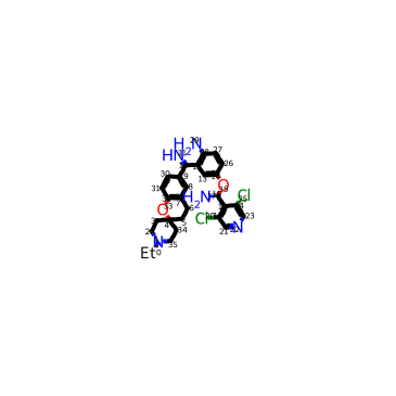 CCN1CCC2(CCc3cc(C(=N)c4cc(O[C@H](N)c5c(Cl)cncc5Cl)ccc4N)ccc3O2)CC1